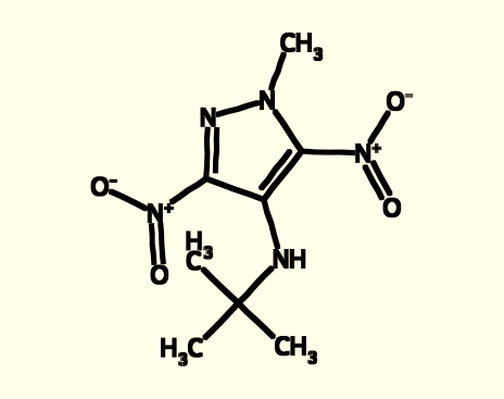 Cn1nc([N+](=O)[O-])c(NC(C)(C)C)c1[N+](=O)[O-]